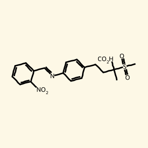 CC(CCc1ccc(/N=C/c2ccccc2[N+](=O)[O-])cc1)(C(=O)O)S(C)(=O)=O